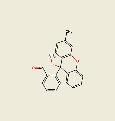 COC1(c2ccccc2C=O)c2ccccc2Oc2cc(C)ccc21